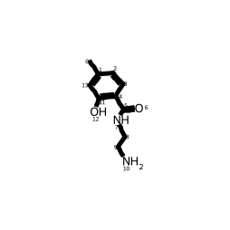 Cc1ccc(C(=O)NCCN)c(O)c1